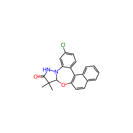 CC1(C)C(=O)NN2c3cc(Cl)ccc3-c3c(ccc4ccccc34)OC21